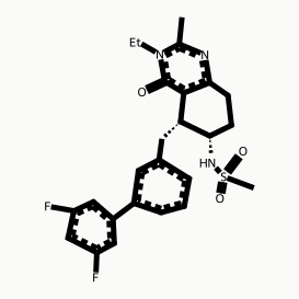 CCn1c(C)nc2c(c1=O)[C@@H](Cc1cccc(-c3cc(F)cc(F)c3)c1)[C@@H](NS(C)(=O)=O)CC2